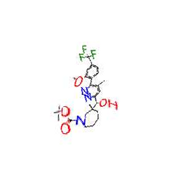 COc1cc(C(F)(F)F)ccc1-c1nnc(C(O)C2(C)CCCCN(C(=O)OC(C)(C)C)C2)cc1C